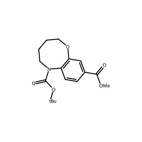 COC(=O)c1ccc2c(c1)OCCCCN2C(=O)OC(C)(C)C